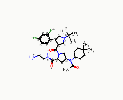 CC(=O)N(C1CCC(C)(C)CC1)[C@H]1C[C@@H](C(=O)NCCN)N(C(=O)C2CN(C(C)(C)C)C[C@@H]2c2ccc(F)cc2F)C1